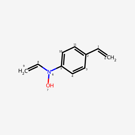 C=Cc1ccc(N(O)C=C)cc1